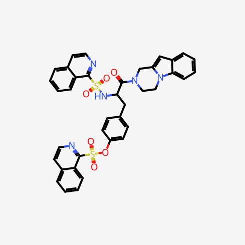 O=C(C(Cc1ccc(OS(=O)(=O)c2nccc3ccccc23)cc1)NS(=O)(=O)c1nccc2ccccc12)N1CCn2c(cc3ccccc32)C1